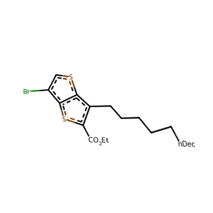 CCCCCCCCCCCCCCCc1c(C(=O)OCC)sc2c(Br)csc12